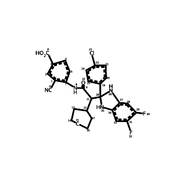 N#Cc1cc(C(=O)O)ccc1NC(=O)C(C1CCCCC1)C1(c2ccc(Cl)cc2)Nc2cc(F)c(F)cc2N1